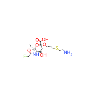 CC[C@@H]1O[C@@](OCCCSCCN)(C(=O)O)C[C@H](O)C1NC(=O)CF